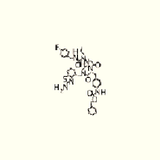 C=CCN(C(=O)NCc1ccc(F)cc1)N1CC(=O)N2[C@@H](Cc3ccc(NC(=O)OCc4ccccc4)cc3)C(=O)N(Cc3cccc4sc(N)nc34)C[C@@H]21